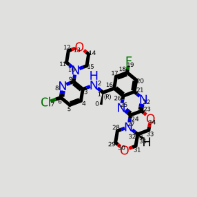 C[C@@H](Nc1ccc(Cl)nc1N1CCOCC1)c1cc(F)cc2nc3c(nc12)N1CCOC[C@H]1CO3